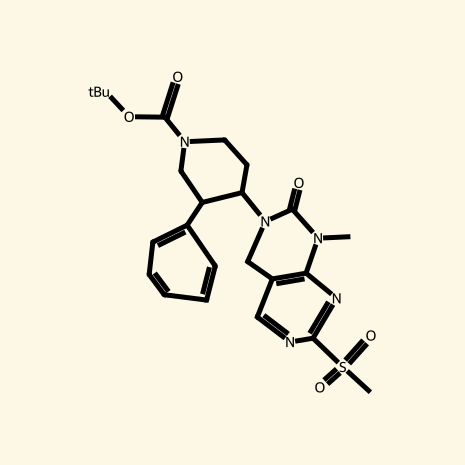 CN1C(=O)N(C2CCN(C(=O)OC(C)(C)C)CC2c2ccccc2)Cc2cnc(S(C)(=O)=O)nc21